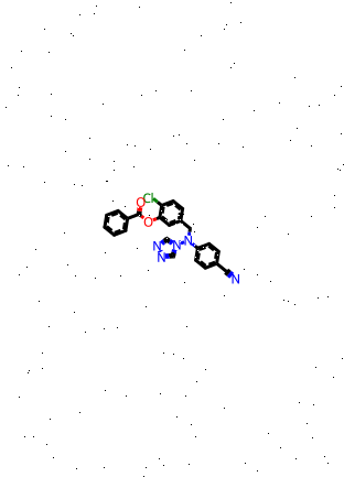 N#Cc1ccc(N(Cc2ccc(Cl)c(OC(=O)c3ccccc3)c2)n2cnnc2)cc1